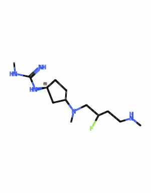 CNCCC(F)CN(C)C1CC[C@H](NC(=N)NC)C1